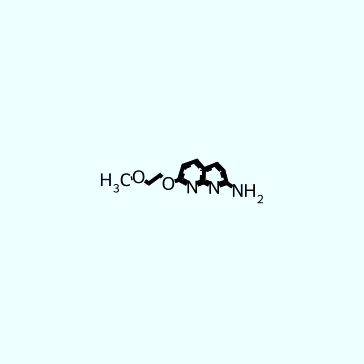 COCCOc1ccc2ccc(N)nc2n1